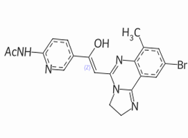 CC(=O)Nc1ccc(/C(O)=C/C2=Nc3c(C)cc(Br)cc3C3=NCCN23)cn1